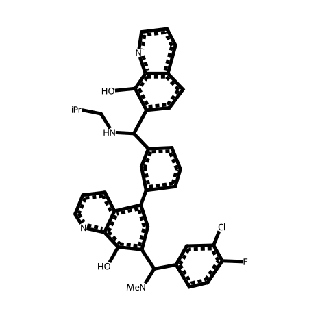 CNC(c1ccc(F)c(Cl)c1)c1cc(-c2cccc(C(NCC(C)C)c3ccc4cccnc4c3O)c2)c2cccnc2c1O